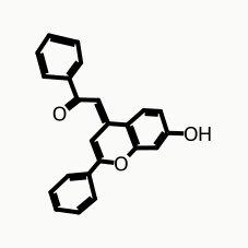 O=C(C=C1C=C(c2ccccc2)Oc2cc(O)ccc21)c1ccccc1